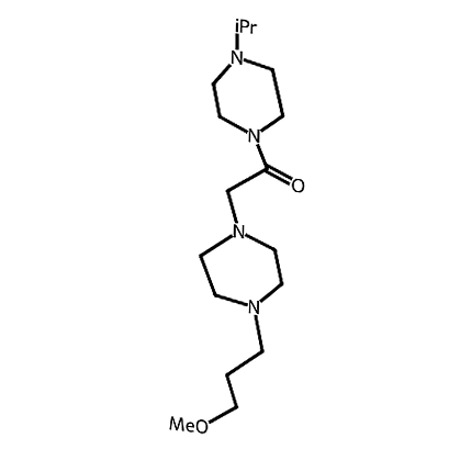 COCCCN1CCN(CC(=O)N2CCN(C(C)C)CC2)CC1